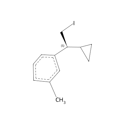 Cc1cccc([C@@H](CI)C2CC2)c1